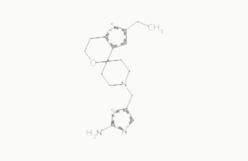 CCc1cc2c(s1)CCOC21CCN(Cc2cnc(N)s2)CC1